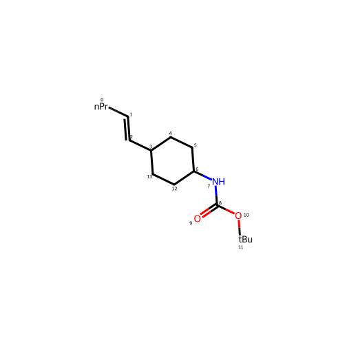 CCC/C=C/C1CCC(NC(=O)OC(C)(C)C)CC1